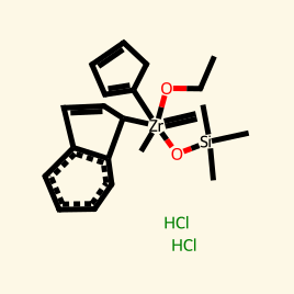 Cl.Cl.[CH2]=[Zr]([CH3])([O]CC)([O][Si](C)(C)C)([C]1=CC=CC1)[CH]1C=Cc2ccccc21